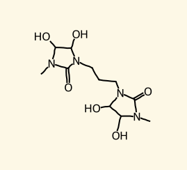 CN1C(=O)N(CCCN2C(=O)N(C)C(O)C2O)C(O)C1O